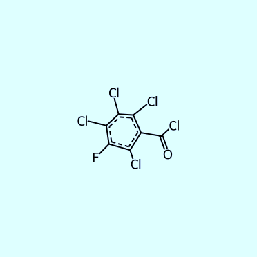 O=C(Cl)c1c(Cl)c(F)c(Cl)c(Cl)c1Cl